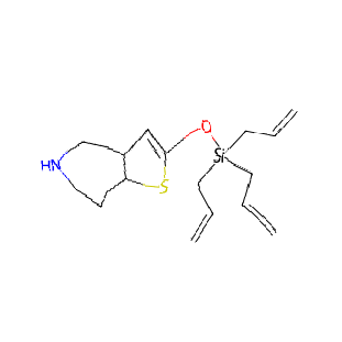 C=CC[Si](CC=C)(CC=C)OC1=CC2CNCCC2S1